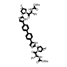 COC(=O)N[C@H](C(=O)N1C[C@H](F)C[C@H]1c1ncc(-c2ccc(-c3ccc(-c4cnc([C@@H]5C[C@@H](F)CN5C(=O)[C@@H](NC(=O)OC)C(C)C)[nH]4)cc3)cc2)[nH]1)C(C)C